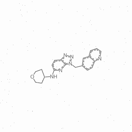 c1cnc2ccc(Cn3nnc4ccc(NC5CCOCC5)nc43)cc2c1